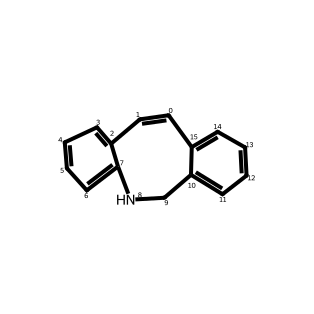 C1=Cc2ccccc2NCc2ccccc21